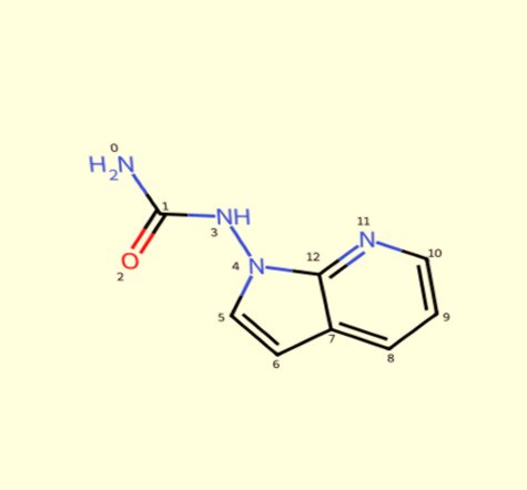 NC(=O)Nn1ccc2cccnc21